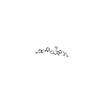 O=C(CC1CC1)Nc1ccc2c(c1)nc(CN1CCC(c3cccc(OCc4ccc(Cl)cc4F)n3)CC1)n2CC1CCO1